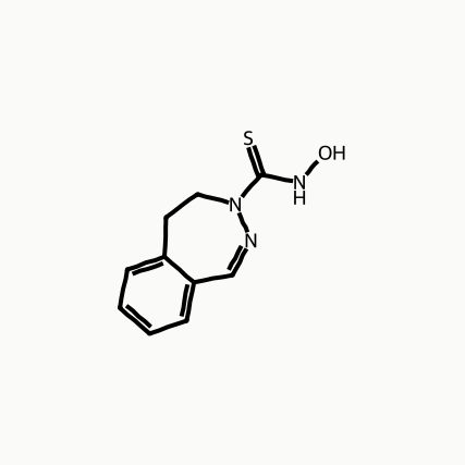 ONC(=S)N1CCc2ccccc2C=N1